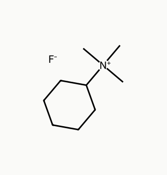 C[N+](C)(C)C1CCCCC1.[F-]